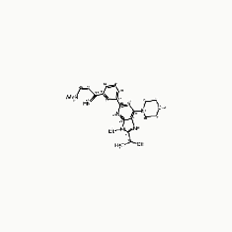 CCn1c(C(C)O)nc2c(N3CCOCC3)nc(-c3cccc(C(=N)/C=C\NC)c3)nc21